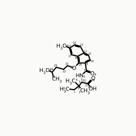 CCC(C)(C)[C@H](NC(=O)c1ccc2ccc(C)cc2c1OCCCC(C)C)C(=O)O